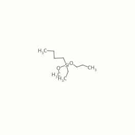 CCCC[Si](CC)(OC)OCCC